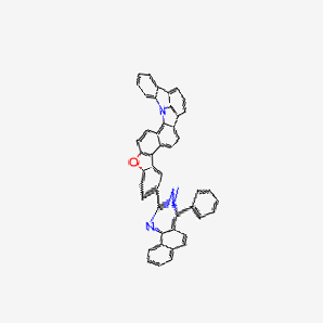 c1ccc(-c2nc(-c3ccc4oc5ccc6c(ccc7c8cccc9c%10ccccc%10n(c67)c98)c5c4c3)nc3c2ccc2ccccc23)cc1